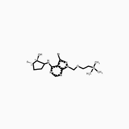 C[Si](C)(C)CCOCn1nc(Br)c2c(NC3CC[C@H](F)[C@H]3O)ncnc21